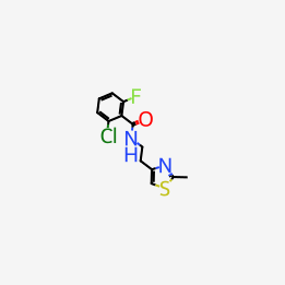 Cc1nc(CCNC(=O)c2c(F)cccc2Cl)cs1